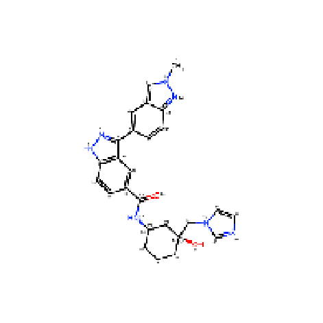 Cn1cc2cc(-c3n[nH]c4ccc(C(=O)N[C@@H]5CCC[C@@](O)(Cn6ccnc6)C5)cc34)ccc2n1